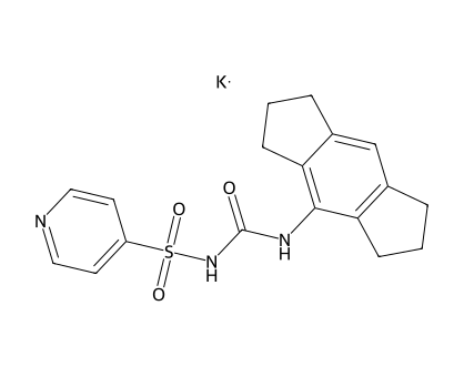 O=C(Nc1c2c(cc3c1CCC3)CCC2)NS(=O)(=O)c1ccncc1.[K]